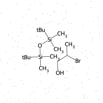 CC(Br)CO.CC(C)(C)[Si](C)(C)O[Si](C)(C)C(C)(C)C